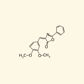 COc1ccc(/C=C2/N=C(c3ccccc3)OC2=O)cc1OC